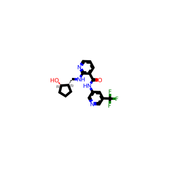 O=C(Nc1cncc(C(F)(F)F)c1)c1cccnc1NC[C@@H]1CCC[C@@H]1O